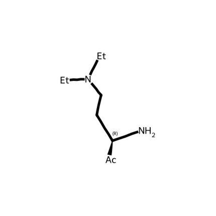 CCN(CC)CC[C@@H](N)C(C)=O